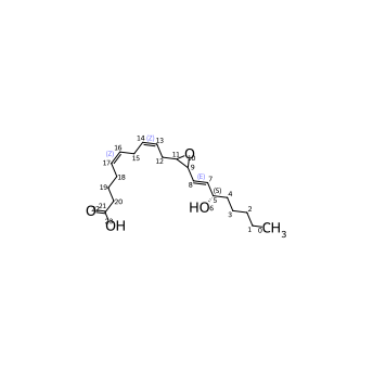 CCCCC[C@H](O)/C=C/C1OC1C/C=C\C/C=C\CCCC(=O)O